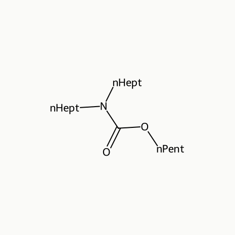 CCCCCCCN(CCCCCCC)C(=O)OCCCCC